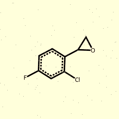 Fc1ccc(C2CO2)c(Cl)c1